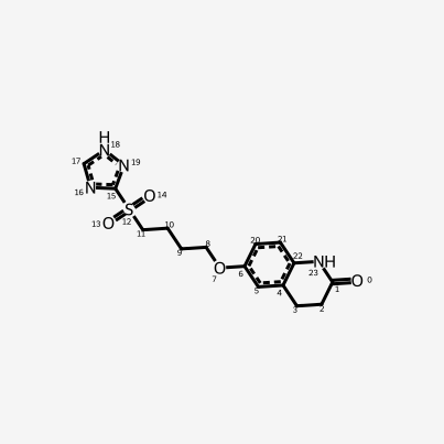 O=C1CCc2cc(OCCCCS(=O)(=O)c3nc[nH]n3)ccc2N1